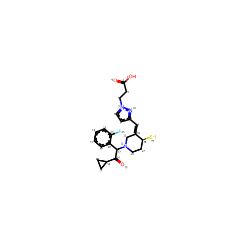 O=C(O)CCn1ccc(/C=C2\CN(C(C(=O)C3CC3)c3ccccc3F)CC[C@@H]2S)n1